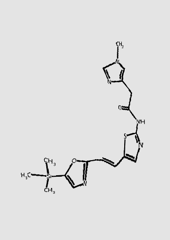 Cn1cnc(CC(=O)Nc2ncc(C=Cc3ncc([Si](C)(C)C)o3)s2)c1